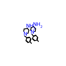 Cc1ccc(CN2CCC(N)CC2)cc1.Cc1ccc(CN2CCC(N)CC2)cc1